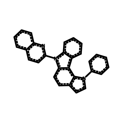 c1ccc(-n2ccc3ccc4c(c5ccccc5n4-c4ccc5ccccc5n4)c32)cc1